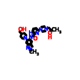 C[C@H](O)CN1C=CN(c2cccc(C(=O)Nc3cc4cn(C)nc4cc3N3CCC(CO)CC3)n2)C=C1